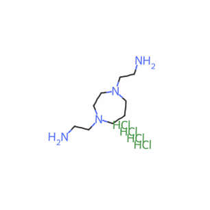 Cl.Cl.Cl.Cl.NCCN1CCCN(CCN)CC1